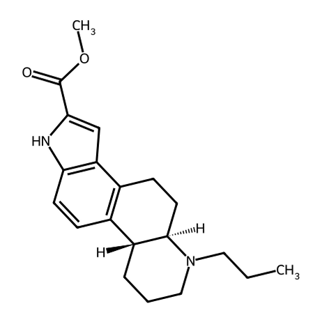 CCCN1CCC[C@@H]2c3ccc4[nH]c(C(=O)OC)cc4c3CC[C@H]21